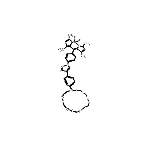 CC1=CC(C)=[N+]2C1=C(c1ccc(-n3cc(-c4ccc(N5CCOCCOCCOCCOCCOCC5)cc4)nn3)cc1)c1c(C)cc(C)n1[B-]2(F)F